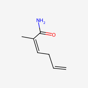 C=CCC=C(C)C(N)=O